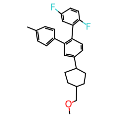 COCC1CCC(c2ccc(-c3cc(F)ccc3F)c(-c3ccc(C)cc3)c2)CC1